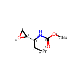 CC(C)CC(NC(=O)OC(C)(C)C)[C@H]1CO1